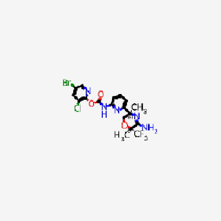 C[C@@]1(c2cccc(NC(=O)Oc3ncc(Br)cc3Cl)n2)CO[C@@](C)(C(F)(F)F)C(N)=N1